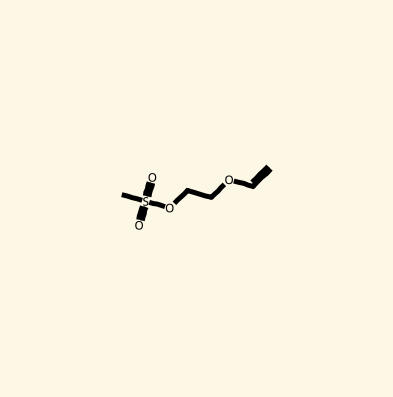 C=COCCOS(C)(=O)=O